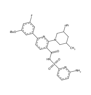 CCCC1CC(C)CN(c2nc(-c3cc(F)cc(OCC(C)C)c3)ccc2C(=O)NS(=O)(=O)c2cccc(N)n2)C1